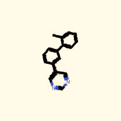 Cc1ccccc1-c1cccc(-c2cncnc2)c1